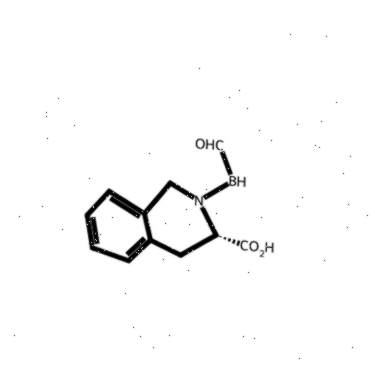 O=CBN1Cc2ccccc2C[C@H]1C(=O)O